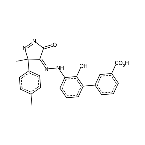 Cc1ccc(C2(C)N=NC(=O)C2=NNc2cccc(-c3cccc(C(=O)O)c3)c2O)cc1